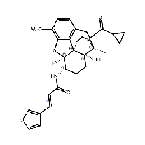 COc1ccc2c3c1O[C@@H]1[C@@H](NC(=O)/C=C/c4ccoc4)CC[C@]4(O)[C@H](C2)N(C(=O)C2CC2)CC[C@@]314